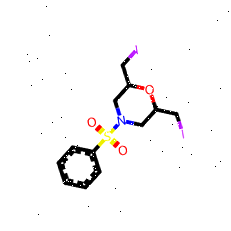 O=S(=O)(c1ccccc1)N1CC(CI)OC(CI)C1